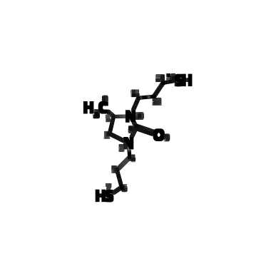 CC1CN(CCCS)C(=O)N1CCCS